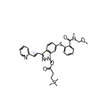 COCN(C)C(=O)c1ccccc1Sc1ccc2c(/C=C/c3ccccn3)nn(OC(=O)CC[Si](C)(C)C)c2c1